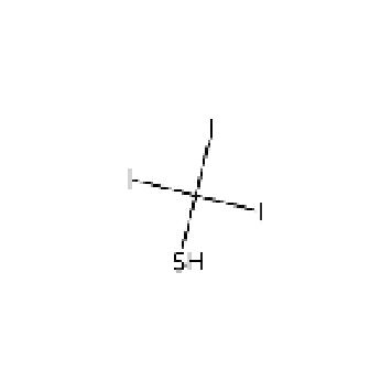 SC(I)(I)I